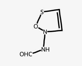 O=CNN1C=CSO1